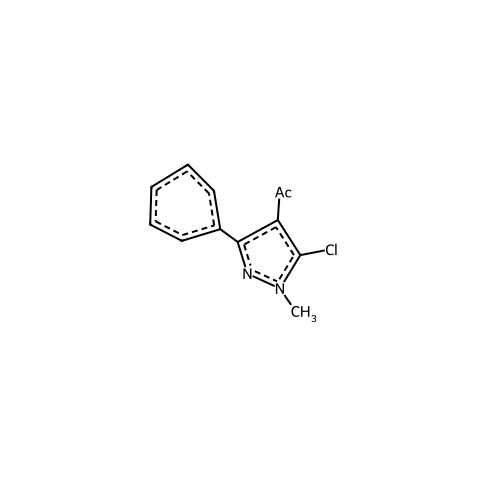 CC(=O)c1c(-c2ccccc2)nn(C)c1Cl